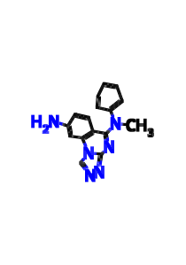 CN(c1ccccc1)c1nc2nncn2c2cc(N)ccc12